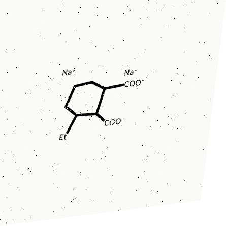 CCC1CCCC(C(=O)[O-])C1C(=O)[O-].[Na+].[Na+]